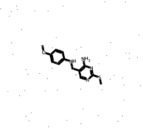 COc1ccc(NCc2cnc(SC)nc2N)cc1